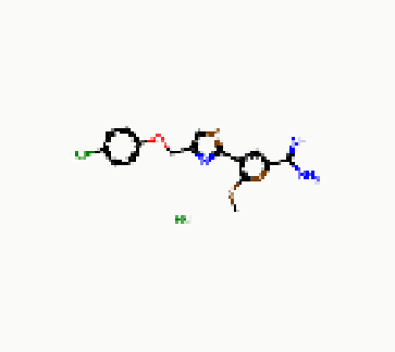 CSc1sc(C(=N)N)cc1-c1nc(COc2ccc(Cl)cc2)cs1.Cl